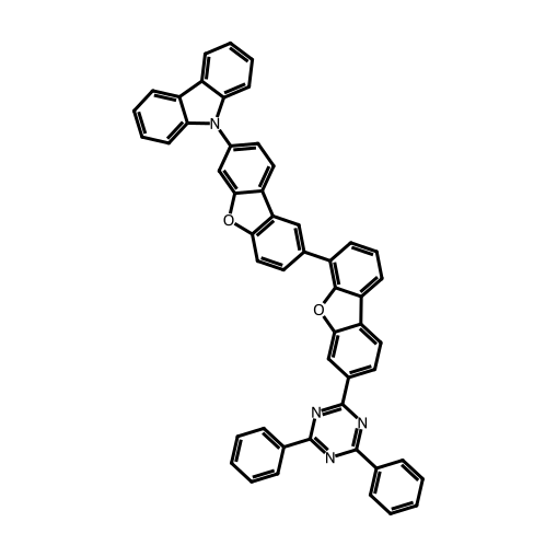 c1ccc(-c2nc(-c3ccccc3)nc(-c3ccc4c(c3)oc3c(-c5ccc6oc7cc(-n8c9ccccc9c9ccccc98)ccc7c6c5)cccc34)n2)cc1